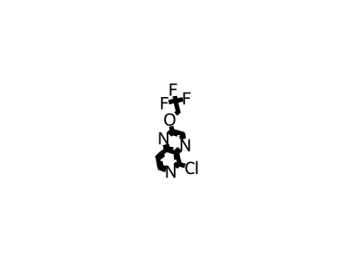 FC(F)(F)COc1cnc2c(Cl)nccc2n1